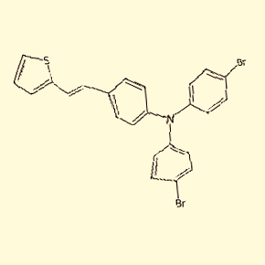 Brc1ccc(N(c2ccc(Br)cc2)c2ccc(/C=C/c3cccs3)cc2)cc1